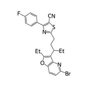 CCc1oc2ccc(Br)nc2c1C(CC)CCc1nc(-c2ccc(F)cc2)c(C#N)s1